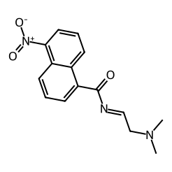 CN(C)CC=NC(=O)c1cccc2c([N+](=O)[O-])cccc12